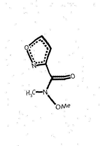 CON(C)C(=O)c1ccon1